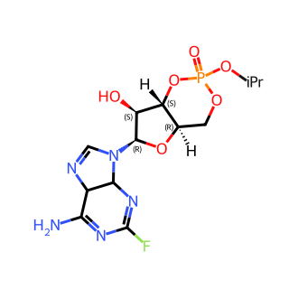 CC(C)OP1(=O)OC[C@H]2O[C@@H](N3C=NC4C(N)=NC(F)=NC43)[C@@H](O)[C@@H]2O1